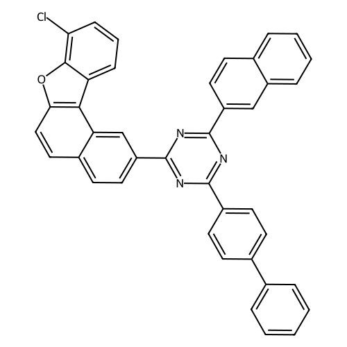 Clc1cccc2c1oc1ccc3ccc(-c4nc(-c5ccc(-c6ccccc6)cc5)nc(-c5ccc6ccccc6c5)n4)cc3c12